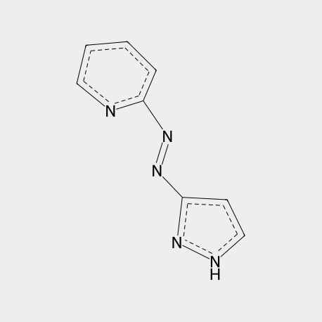 c1ccc(N=Nc2cc[nH]n2)nc1